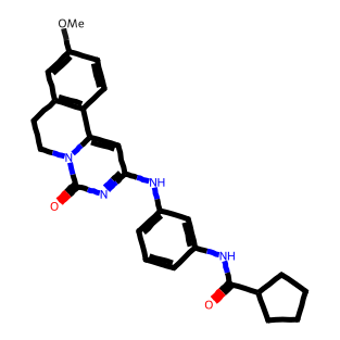 COc1ccc2c(c1)CCn1c-2cc(Nc2cccc(NC(=O)C3CCCC3)c2)nc1=O